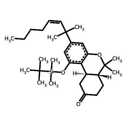 CCCC/C=C\C(C)(C)c1cc2c(c(O[Si](C)(C)C(C)(C)C)c1)[C@@H]1CC(=O)CC[C@H]1C(C)(C)O2